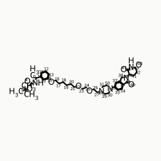 C[C@@H](NC(=O)OC(C)(C)C)c1cccc(OCCCCCCOCCOCCN2CCN(c3ccc4c(c3)CN(C3CCC(=O)NC3=O)C4=O)CC2)c1